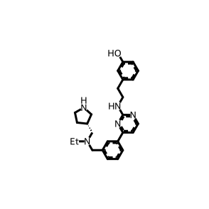 CCN(Cc1cccc(-c2ccnc(NCCc3cccc(O)c3)n2)c1)C[C@@H]1CCNC1